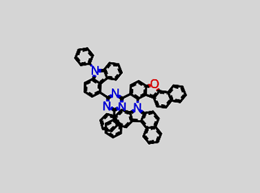 c1ccc(-c2nc(-c3ccc4oc5c6ccccc6ccc5c4c3-n3c4cc5ccccc5cc4c4c5ccccc5ccc43)nc(-c3cccc4c3c3ccccc3n4-c3ccccc3)n2)cc1